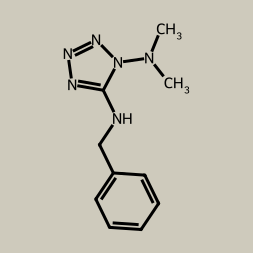 CN(C)n1nnnc1NCc1ccccc1